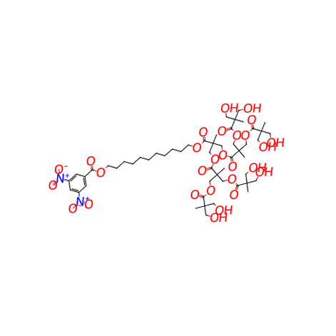 CC(CO)(CO)C(=O)OCC(C)(COC(=O)C(C)(CO)CO)C(=O)OCC(C)(COC(=O)C(C)(COC(=O)C(C)(CO)CO)COC(=O)C(C)(CO)CO)C(=O)OCCCCCCCCCCCOC(=O)c1cc([N+](=O)[O-])cc([N+](=O)[O-])c1